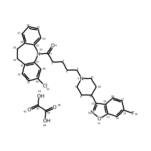 O=C(CCCCN1CCC(c2noc3cc(F)ccc23)CC1)N1c2ccccc2CCc2ccc(Cl)cc21.O=C(O)C(=O)O